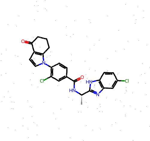 C[C@H](NC(=O)c1ccc(-n2ccc3c2CCCC3=O)c(Cl)c1)c1nc2cc(Cl)ccc2[nH]1